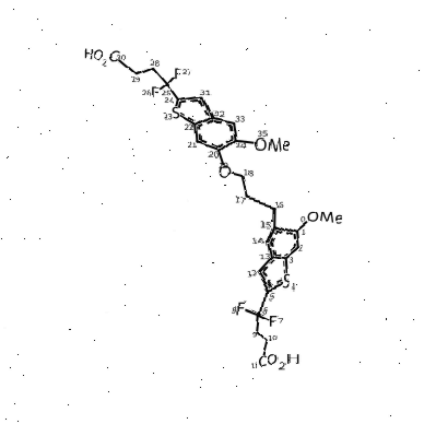 COc1cc2sc(C(F)(F)CCC(=O)O)cc2cc1CCCOc1cc2sc(C(F)(F)CCC(=O)O)cc2cc1OC